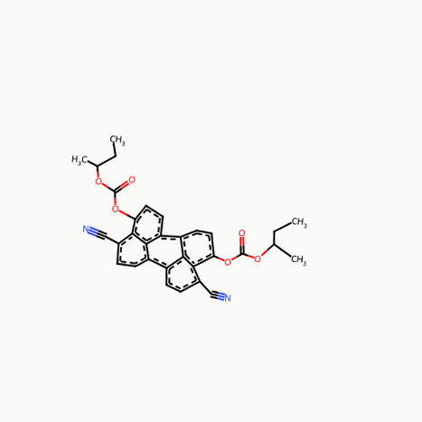 CCC(C)OC(=O)Oc1ccc2c3ccc(OC(=O)OC(C)CC)c4c(C#N)ccc(c5ccc(C#N)c1c52)c43